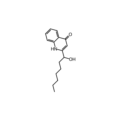 CCCCCCC(O)c1cc(=O)c2ccccc2[nH]1